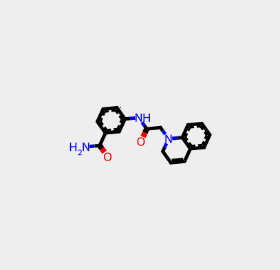 NC(=O)c1cc[c]c(NC(=O)CN2CC=Cc3ccccc32)c1